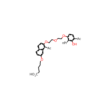 CCCc1c(OCCOCCOc2ccc3ccc(OCCCCC(=O)O)cc3c2C(C)=O)ccc(C(C)=O)c1O